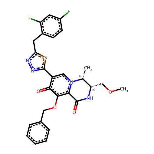 COC[C@@H]1NC(=O)c2c(OCc3ccccc3)c(=O)c(-c3nnc(Cc4ccc(F)cc4F)s3)cn2[C@@H]1C